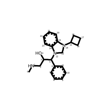 CNCC(O)C(c1ccccc1)N1[CH]N(C2CCC2)c2ccccc21